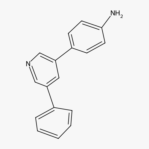 Nc1ccc(-c2cncc(-c3ccccc3)c2)cc1